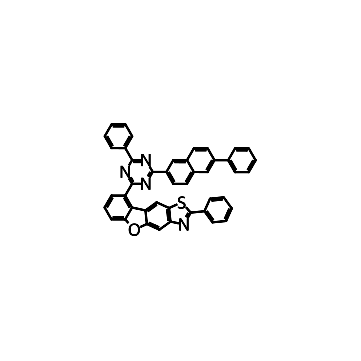 c1ccc(-c2ccc3cc(-c4nc(-c5ccccc5)nc(-c5cccc6oc7cc8nc(-c9ccccc9)sc8cc7c56)n4)ccc3c2)cc1